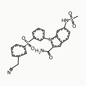 CS(=O)(=O)Nc1ccc2cc(C(N)=O)n(-c3cccc(S(=O)(=O)c4cccc(CC#N)c4)c3)c2c1